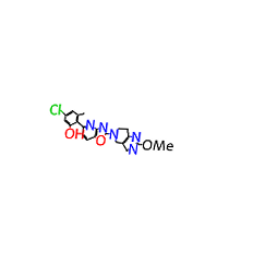 COc1ncc2c(n1)CCN(c1nc3nc(-c4c(C)cc(Cl)cc4O)ccc3o1)C2